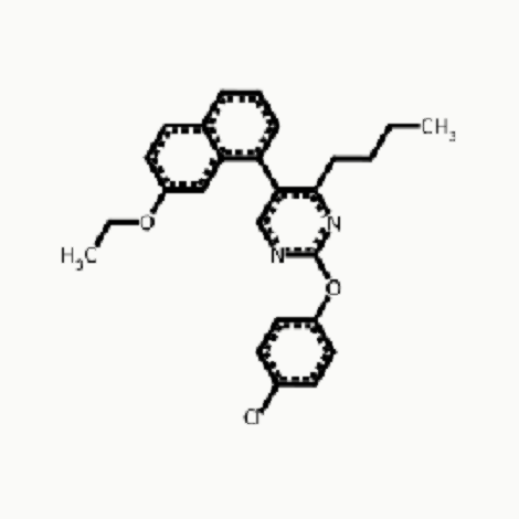 CCCCc1nc(Oc2ccc(Cl)cc2)ncc1-c1cccc2ccc(OCC)cc12